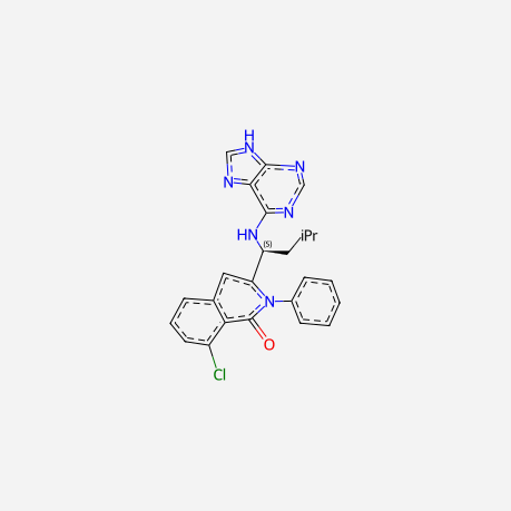 CC(C)C[C@H](Nc1ncnc2[nH]cnc12)c1cc2cccc(Cl)c2c(=O)n1-c1ccccc1